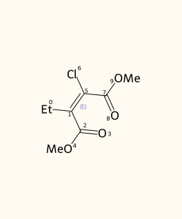 CC/C(C(=O)OC)=C(\Cl)C(=O)OC